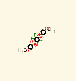 COc1ccc(S(=O)(=O)c2c(F)c(F)c(S(=O)(=O)c3ccc(OC)cc3)c(F)c2F)cc1